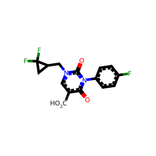 O=C(O)c1cn(CC2CC2(F)F)c(=O)n(-c2ccc(F)cc2)c1=O